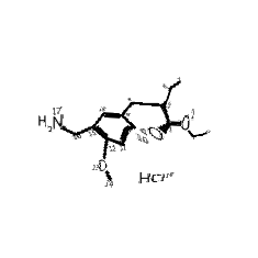 CCOC(=O)C(CC)Cc1ccc(OC)c(CN)c1.Cl